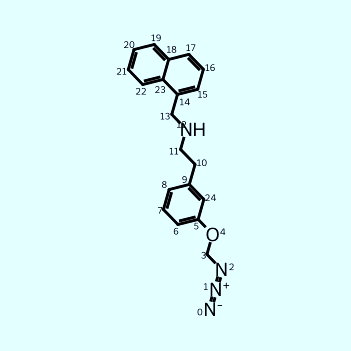 [N-]=[N+]=NCOc1cccc(CCNCc2cccc3ccccc23)c1